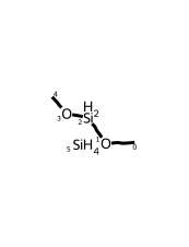 CO[SiH2]OC.[SiH4]